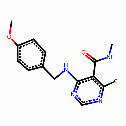 CNC(=O)c1c(Cl)ncnc1NCc1ccc(OC)cc1